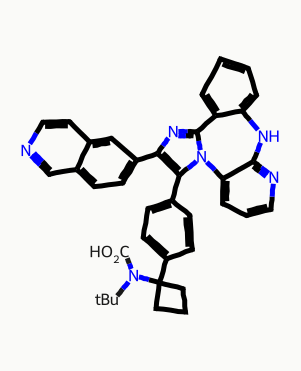 CC(C)(C)N(C(=O)O)C1(c2ccc(-c3c(-c4ccc5cnccc5c4)nc4n3-c3cccnc3Nc3ccccc3-4)cc2)CCC1